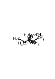 CCCCCCCN(C)C(=O)COCC(CC)(COCC(=O)N(C)CCCCCCC)COCC(=O)N(C)CCCCCCC